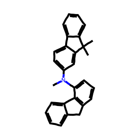 CN(c1ccc2c(c1)C(C)(C)c1ccccc1-2)c1cccc2c1-c1ccccc1C2